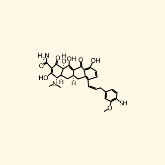 COc1cc(C/C=C\c2ccc(O)c3c2C[C@H]2C[C@H]4[C@H](N(C)C)C(O)=C(C(N)=O)C(=O)[C@@]4(O)C(O)=C2C3=O)ccc1S